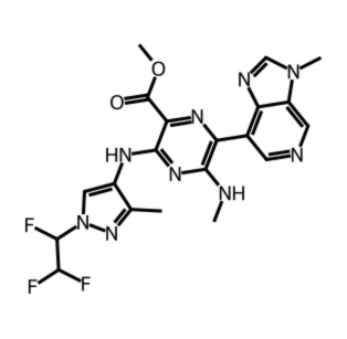 CNc1nc(Nc2cn(C(F)C(F)F)nc2C)c(C(=O)OC)nc1-c1cncc2c1ncn2C